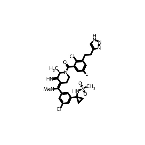 CN/C(=C1/CCN(C(=O)c2cc(F)cc(CCc3c[nH]nn3)c2Cl)[C@H](C)C1=N)c1cc(Cl)cc(C2(NS(C)(=O)=O)CC2)c1